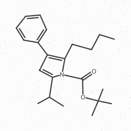 CCCCc1c(-c2ccccc2)cc(C(C)C)n1C(=O)OC(C)(C)C